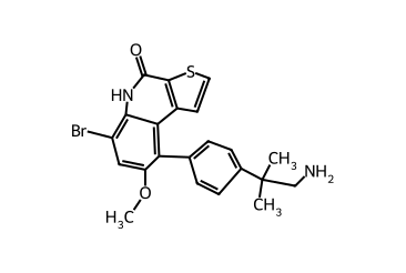 COc1cc(Br)c2[nH]c(=O)c3sccc3c2c1-c1ccc(C(C)(C)CN)cc1